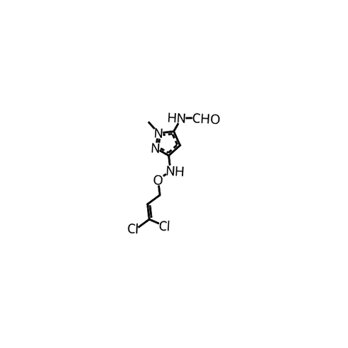 Cn1nc(NOCC=C(Cl)Cl)cc1NC=O